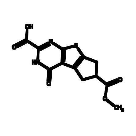 COC(=O)C1Cc2sc3nc(C(=O)O)[nH]c(=O)c3c2C1